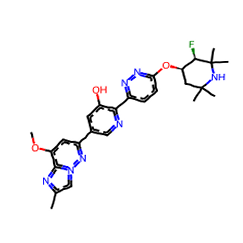 COc1cc(-c2cnc(-c3ccc(O[C@@H]4CC(C)(C)NC(C)(C)[C@@H]4F)nn3)c(O)c2)nn2cc(C)nc12